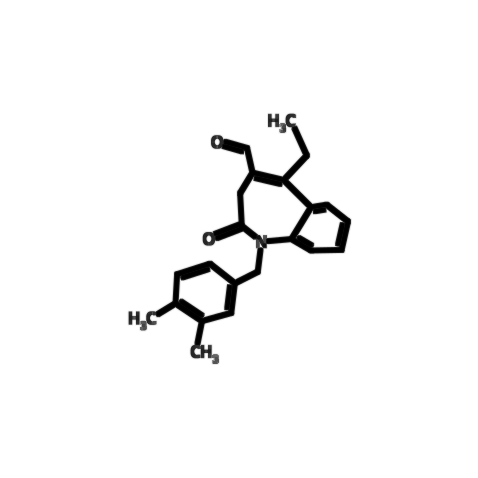 CCC1=C(C=O)CC(=O)N(Cc2ccc(C)c(C)c2)c2ccccc21